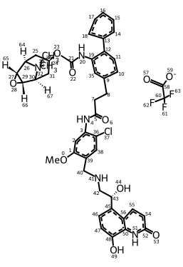 COc1cc(NC(=O)CCc2ccc(-c3ccccc3)c(NC(=O)O[C@@H]3C[C@@H]4[C@H]5O[C@H]5[C@H](C3)[N+]4(C)C)c2)c(Cl)cc1CNC[C@H](O)c1ccc(O)c2[nH]c(=O)ccc12.O=C([O-])C(F)(F)F